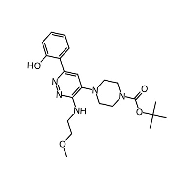 COCCNc1nnc(-c2ccccc2O)cc1N1CCN(C(=O)OC(C)(C)C)CC1